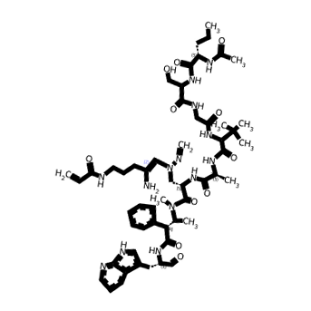 C=CC(=O)NCCC/C(N)=C/N(C[C@H](NC(=O)[C@H](C)NC(=O)C(NC(=O)CNC(=O)C(CO)NC(=O)[C@H](CCC)NC(C)=O)C(C)(C)C)C(=O)N(C)C(C)[C@H](C(=O)N[C@H](C=O)Cc1c[nH]c2ncccc12)c1ccccc1)N=C